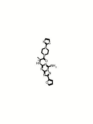 C[C@H](Nc1nc(N)n2nc(-c3ccco3)nc2n1)C(=O)N1CCN(c2nccs2)CC1